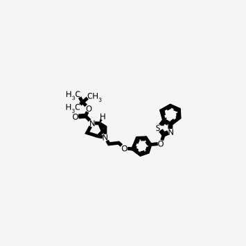 CC(C)(C)OC(=O)N1CC2C[C@H]1CN2CCOc1ccc(Oc2nc3ccccc3s2)cc1